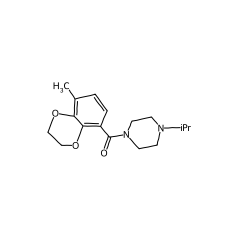 Cc1ccc(C(=O)N2CCN(C(C)C)CC2)c2c1OCCO2